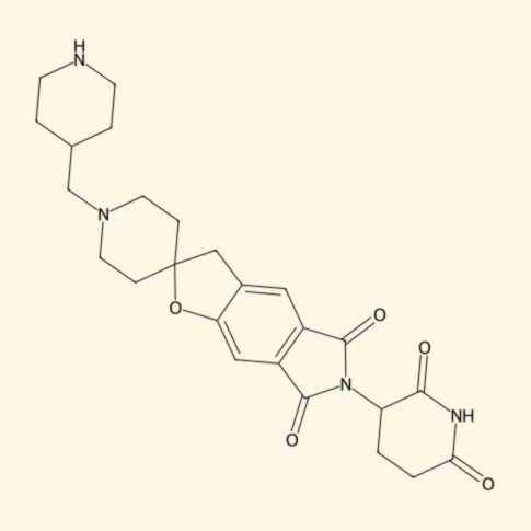 O=C1CCC(N2C(=O)c3cc4c(cc3C2=O)OC2(CCN(CC3CCNCC3)CC2)C4)C(=O)N1